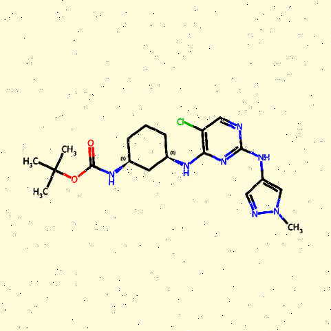 Cn1cc(Nc2ncc(Cl)c(N[C@@H]3CCC[C@H](NC(=O)OC(C)(C)C)C3)n2)cn1